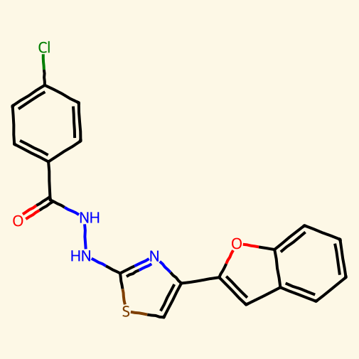 O=C(NNc1nc(-c2cc3ccccc3o2)cs1)c1ccc(Cl)cc1